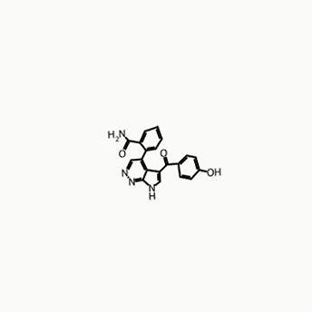 NC(=O)c1ccccc1-c1cnnc2[nH]cc(C(=O)c3ccc(O)cc3)c12